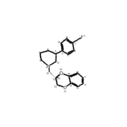 Fc1ccc(C2CCCN(C[C@H]3COc4ccccc4O3)C2)cc1